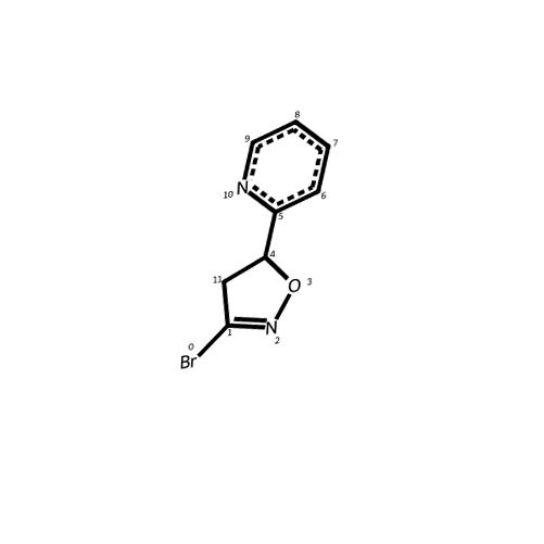 BrC1=NOC(c2ccccn2)C1